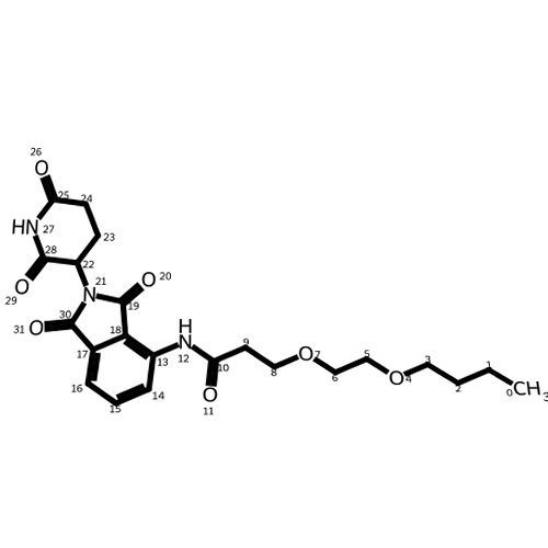 CCCCOCCOCCC(=O)Nc1cccc2c1C(=O)N(C1CCC(=O)NC1=O)C2=O